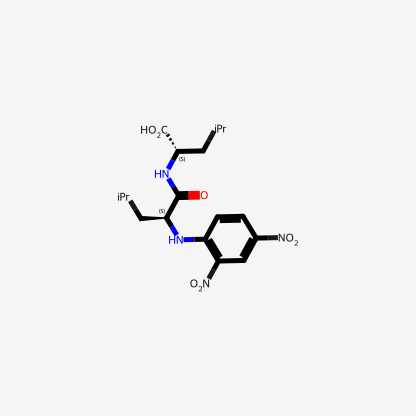 CC(C)C[C@H](NC(=O)[C@H](CC(C)C)Nc1ccc([N+](=O)[O-])cc1[N+](=O)[O-])C(=O)O